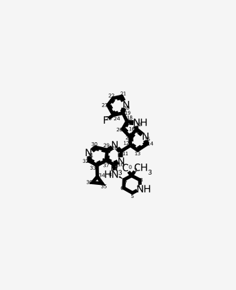 CC1(C)CNCC[C@@H]1Nc1nc(-c2ccnc3[nH]c(-c4ncccc4F)cc23)nc2cncc(C3CC3)c12